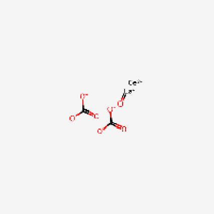 O=C([O-])[O-].O=C([O-])[O-].[Ce+3].[O]=[La+]